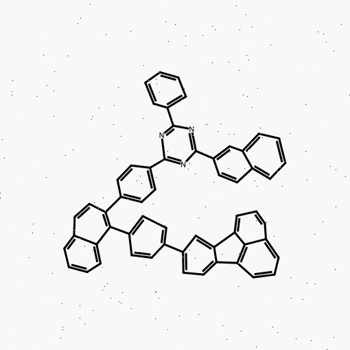 c1ccc(-c2nc(-c3ccc(-c4ccc5ccccc5c4-c4ccc(-c5ccc6c(c5)-c5cccc7cccc-6c57)cc4)cc3)nc(-c3ccc4ccccc4c3)n2)cc1